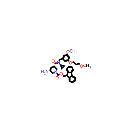 COCCCOc1cc(CN(C(=O)[C@H]2C[C@@H](N)CN(C(=O)OCC3c4ccccc4-c4ccccc43)C2)C2CC2)cc(OC)c1